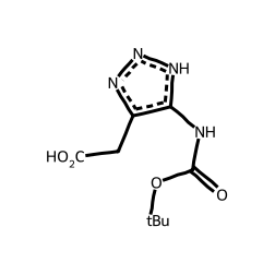 CC(C)(C)OC(=O)Nc1[nH]nnc1CC(=O)O